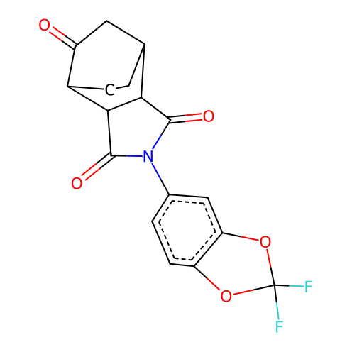 O=C1CC2CCC1C1C(=O)N(c3ccc4c(c3)OC(F)(F)O4)C(=O)C21